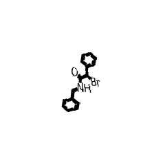 O=C(NCc1ccccc1)C(Br)c1ccccc1